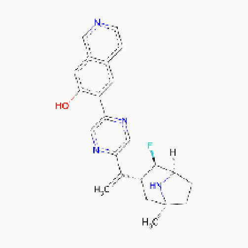 C=C(c1cnc(-c2cc3ccncc3cc2O)cn1)[C@H]1C[C@]2(C)CC[C@@H](N2)[C@@H]1F